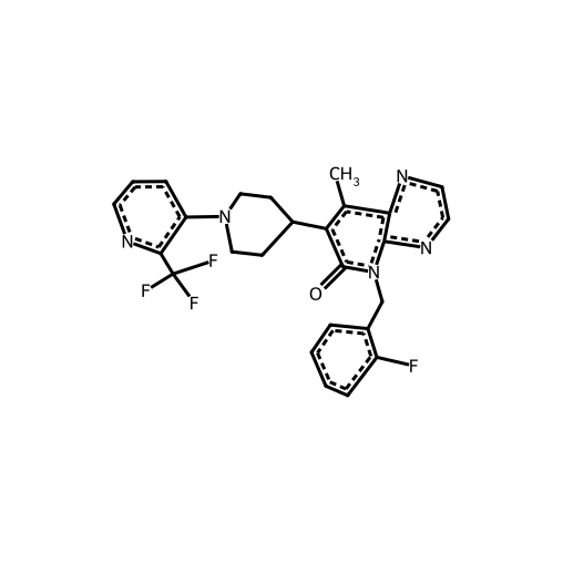 Cc1c(C2CCN(c3cccnc3C(F)(F)F)CC2)c(=O)n(Cc2ccccc2F)c2nccnc12